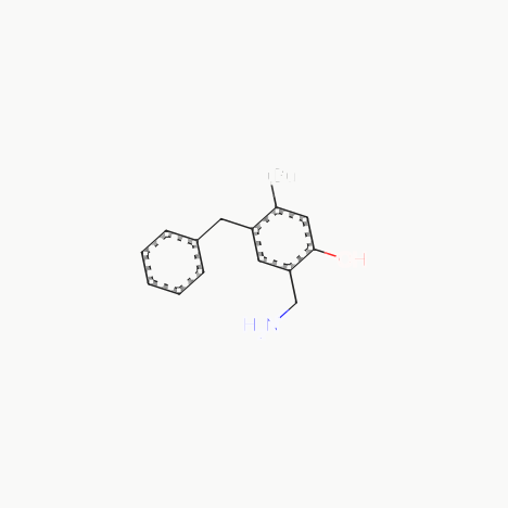 CC(C)(C)c1cc(O)c(CN)cc1Cc1ccccc1